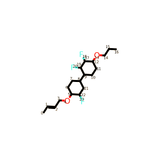 CC=CCOC1CCC(C2CCC(OCCC)C(F)C2F)CC1F